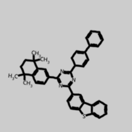 CC1(C)CCC(C)(C)c2cc(-c3nc(-c4ccc5sc6ccccc6c5c4)nc(C4C=CC(c5ccccc5)=CC4)n3)ccc21